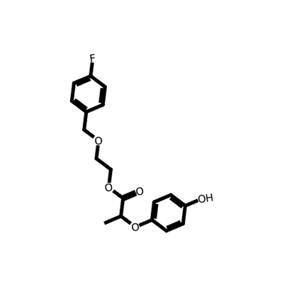 CC(Oc1ccc(O)cc1)C(=O)OCCOCc1ccc(F)cc1